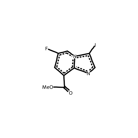 COC(=O)c1cc(F)cn2c(I)cnc12